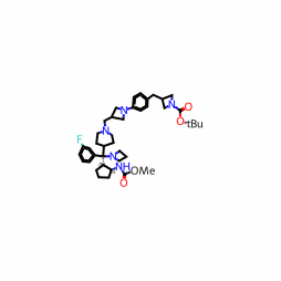 COC(=O)N[C@H]1CCC[C@@H]1C(c1cccc(F)c1)(C1CCN(CC2CN(c3ccc(CC4CN(C(=O)OC(C)(C)C)C4)cc3)C2)CC1)N1CCC1